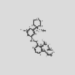 COC1(c2cc(F)cc(OCc3cccc4c3c(Cl)cc3nncn34)c2)CCOCC1